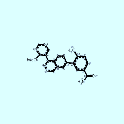 COc1ncncc1-c1nncc2cc(-c3cc(C(N)=O)ccc3C)ccc12